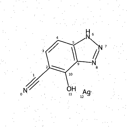 N#Cc1ccc2[nH]nnc2c1O.[Ag]